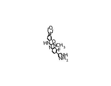 Cn1c(=O)c(Nc2ccc(N3CCOCC3)cc2)nc2ccc(/C(C=N)=C/N)c(F)c21